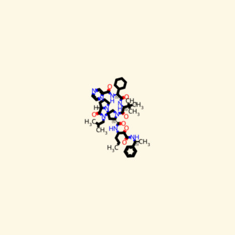 CCCC(NC(=O)[C@@H]1CC2(CN1C(=O)[C@@H](NC(=O)[C@@H](NC(=O)c1cnccn1)C1CCCCC1)C(C)(C)C)N(CC(C)C)C(=O)[C@H]1CCCN12)C(=O)C(=O)N[C@@H](C)c1ccccc1